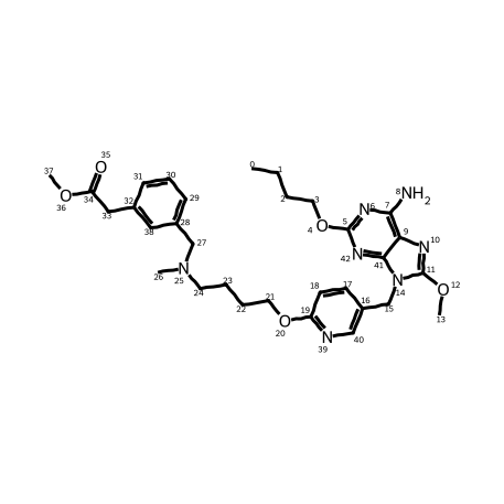 CCCCOc1nc(N)c2nc(OC)n(Cc3ccc(OCCCCN(C)Cc4cccc(CC(=O)OC)c4)nc3)c2n1